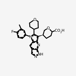 Cc1cc(-n2c(C3CCOCC3)c([C@@H]3CCC(C(=O)O)OC3)c3nc4[nH]ncc4cc32)ccc1F